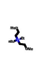 CCCC[N+](CC)(CCOC)CCOC